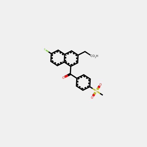 CS(=O)(=O)c1ccc(C(=O)c2cc(CC(=O)O)cc3cc(F)ccc23)cc1